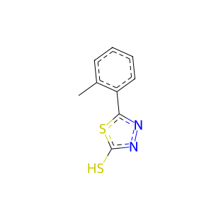 Cc1ccccc1-c1nnc(S)s1